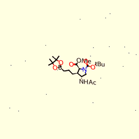 COC(=O)[C@@H]1[C@H](CCCB2OC(C)(C)C(C)(C)O2)[C@@H](NC(C)=O)CN1C(=O)OC(C)(C)C